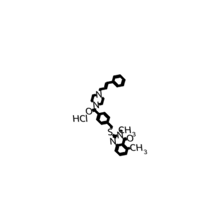 Cc1cccc2nc(SCc3ccc(C(=O)N4CCN(CC=Cc5ccccc5)CC4)cc3)n(C)c(=O)c12.Cl